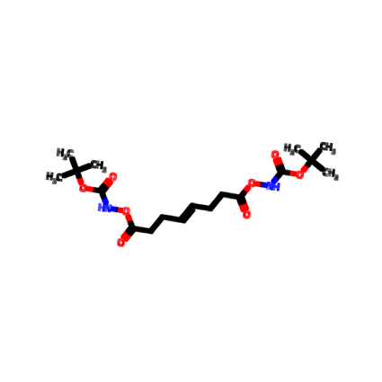 CC(C)(C)OC(=O)NOC(=O)CCC=CCCC(=O)ONC(=O)OC(C)(C)C